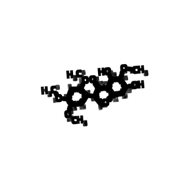 COc1cc(OC)c(-c2coc3cc(O)c(OC)c(O)c3c2=O)cc1OC